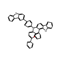 c1ccc(-c2ccc(N(c3ccc(-c4ccc5sc6ccccc6c5c4)cc3)c3ccc4c(oc5ccccc54)c3-c3ccccc3)cc2)cc1